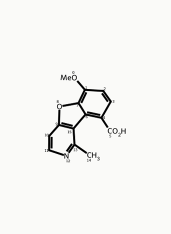 COc1ccc(C(=O)O)c2c1oc1ccnc(C)c12